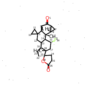 C[C@@]12C(=CC(=O)C3C[C@@H]31)C1(CC1)CC1C2[C@@H](F)C[C@@]2(C)C1CC[C@@]21CCC(=O)O1